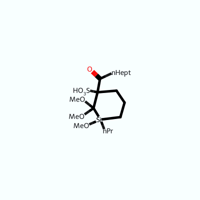 CCCCCCCC(=O)C1(S(=O)(=O)O)CCC[Si](CCC)(OC)C1(OC)OC